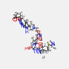 Cc1ncsc1-c1ccc([C@H](C)NC(=O)[C@@H]2C[C@@H](O)CN2C(=O)[C@@H](c2cc(OCCN3CCC(c4cc5cc(-c6ccccc6O)nnc5[nH]4)CC3)no2)C(C)C)cc1